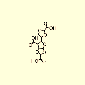 O=C(O)C1OCC(C2OC3OC(C(=O)O)OC3C2C(=O)O)O1